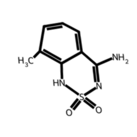 Cc1cccc2c1NS(=O)(=O)N=C2N